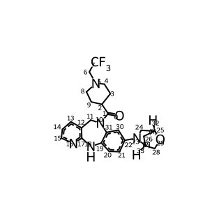 O=C(C1CCN(CC(F)(F)F)CC1)N1Cc2cccnc2Nc2ccc(N3C[C@H]4C[C@@H]3CO4)cc21